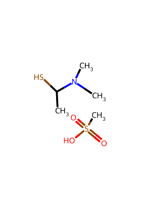 CC(S)N(C)C.CS(=O)(=O)O